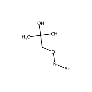 CC(=O)[N]OCC(C)(C)O